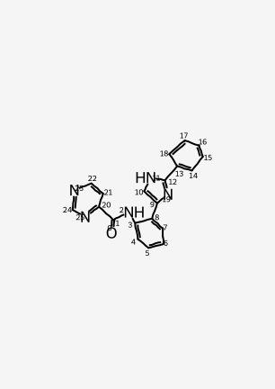 O=C(Nc1ccccc1-c1c[nH]c(-c2ccccc2)n1)c1ccncn1